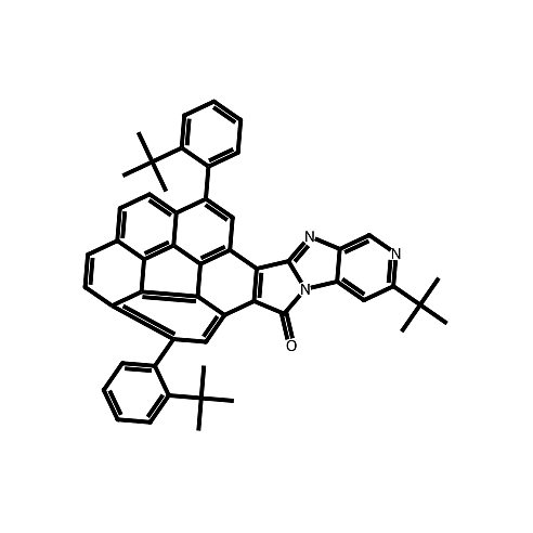 CC(C)(C)c1cc2c(cn1)nc1c3c4cc(-c5ccccc5C(C)(C)C)c5ccc6ccc7c(-c8ccccc8C(C)(C)C)cc(c3c(=O)n21)c1c7c6c5c41